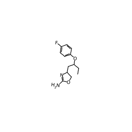 CCC(CC1COC(N)=N1)Oc1ccc(F)cc1